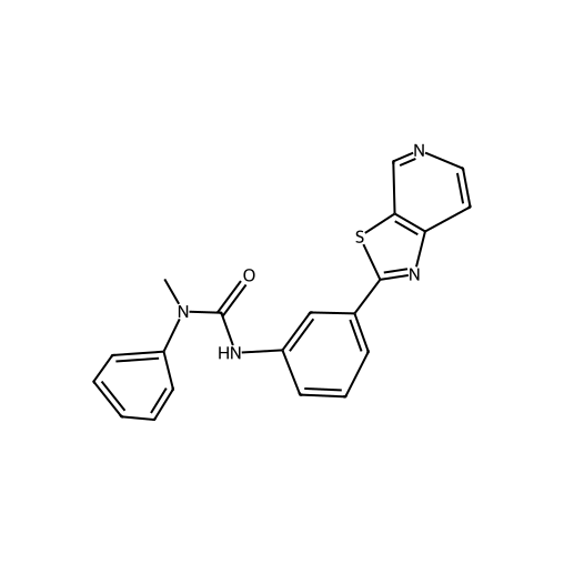 CN(C(=O)Nc1cccc(-c2nc3ccncc3s2)c1)c1ccccc1